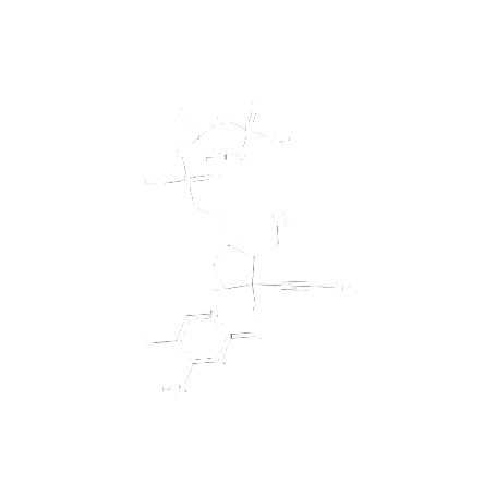 CC#CC1(F)C(CO)[C@@H](COP(=O)(O)OP(=O)(O)OP(=O)(O)O)O[C@H]1n1cc(F)c(N)nc1=O